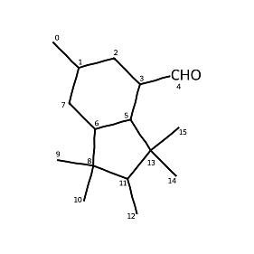 CC1CC(C=O)C2C(C1)C(C)(C)C(C)C2(C)C